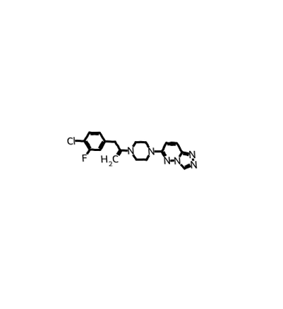 C=C(Cc1ccc(Cl)c(F)c1)N1CCN(c2ccc3nncn3n2)CC1